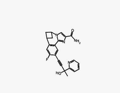 CC(O)(C#Cc1cc2c(cc1F)C1CC(C1)n1cc(C(N)=O)nc1-2)c1ccccn1